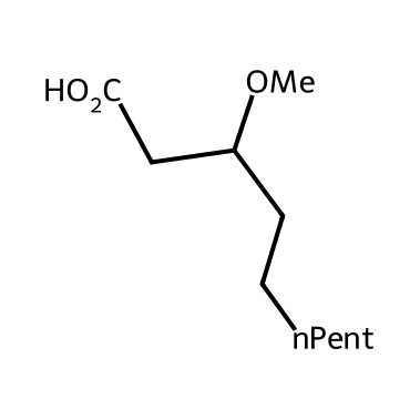 CCCCCCCC(CC(=O)O)OC